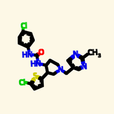 Cc1ncc(CN2CCC(NC(=O)Nc3ccc(Cl)cc3)C(c3ccc(Cl)s3)C2)cn1